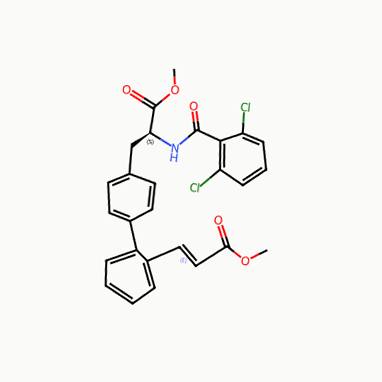 COC(=O)/C=C/c1ccccc1-c1ccc(C[C@H](NC(=O)c2c(Cl)cccc2Cl)C(=O)OC)cc1